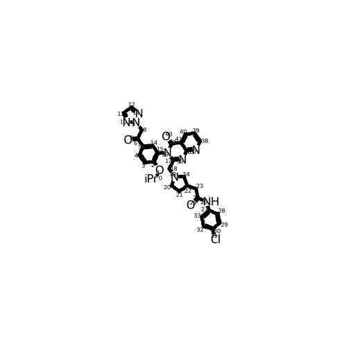 CC(C)Oc1ccc(C(=O)Cn2nccn2)cc1-n1c(CN2CCC(CC(=O)Nc3ccc(Cl)cc3)C2)nc2ncccc2c1=O